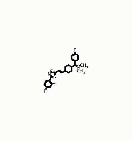 CN(C)C(c1ccc(F)cc1)C1CCC(C=Cc2nc(-c3ccc(F)cc3F)no2)CC1